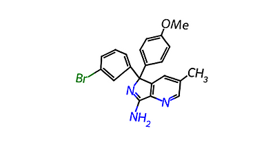 COc1ccc(C2(c3cccc(Br)c3)N=C(N)c3ncc(C)cc32)cc1